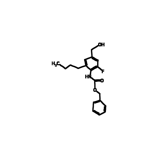 CCCCc1cc(CO)cc(F)c1NC(=O)OCc1ccccc1